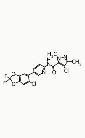 Cc1nn(C)c(C(=O)Nc2ccc(-c3cc4c(cc3Cl)OC(F)(F)O4)cn2)c1Cl